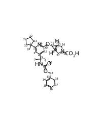 CC1(c2cc(C(C)(C)NC(=O)OCc3ccccc3)cc(OC3[C@H]4CN(C(=O)O)C[C@@H]34)n2)CCCC1